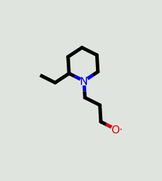 CCC1CCCCN1CCC[O]